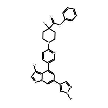 CCC1(C(=O)Nc2ccccc2)CCN(c2ccc(-c3nc(-c4cnn(C(C)C)c4)cn4ncc(C#N)c34)cn2)CC1